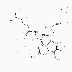 CNC(=O)[C@H](CC(N)=O)NC(=O)[C@@H](CC(=O)O)NC(=O)[C@H](C)NC(=O)CCCC(=O)Cl